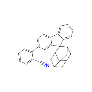 N#Cc1ccccc1-c1ccc2c(c1)C1(c3ccccc3-2)C2CC3CC(C2)CC1C3